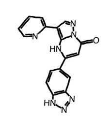 O=c1cc(-c2ccc3[nH]nnc3c2)[nH]c2c(-c3ccccn3)cnn12